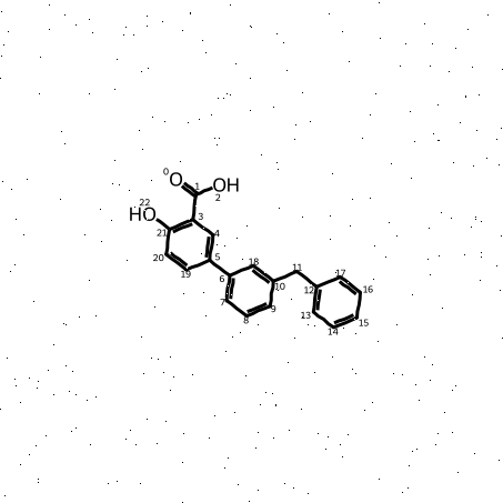 O=C(O)c1cc(-c2cccc(Cc3ccccc3)c2)ccc1O